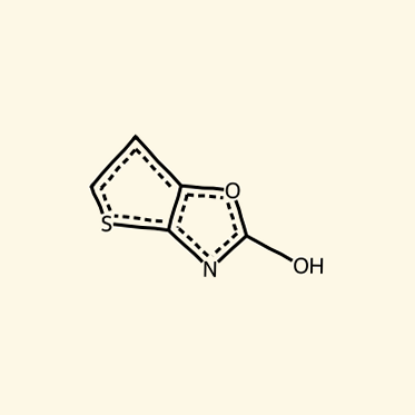 Oc1nc2sccc2o1